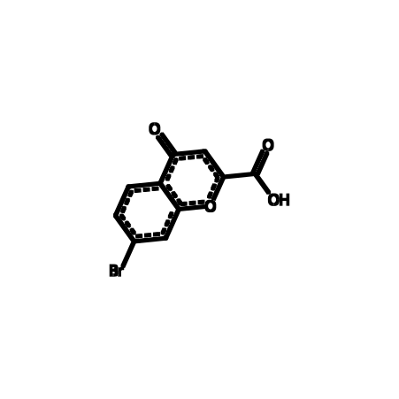 O=C(O)c1cc(=O)c2ccc(Br)cc2o1